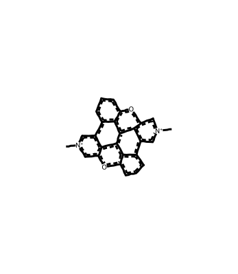 C[n+]1cc2oc3cccc4c5c[n+](C)cc6oc7cccc8c(c1)c2c(c34)c(c78)c65